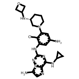 Nc1cc(Nc2nc(NC3CC3)c3ncc(N)n3n2)c(Cl)c(N2CCC[C@@H](NC3COC3)C2)c1